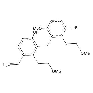 C=Cc1ccc(O)c(Cc2c(OC)ccc(CC)c2/C=C/OC)c1CCOC